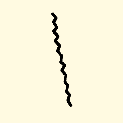 CCCCCCCOCCOCCOCCCCCC